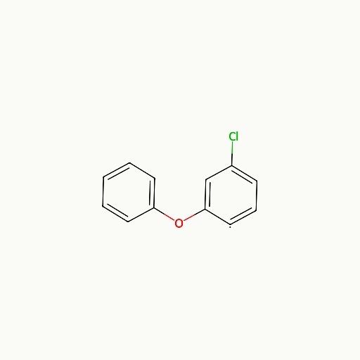 Clc1cc[c]c(Oc2ccccc2)c1